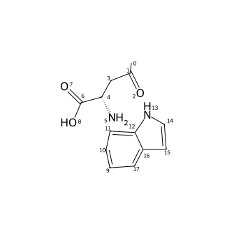 CC(=O)C[C@H](N)C(=O)O.c1ccc2[nH]ccc2c1